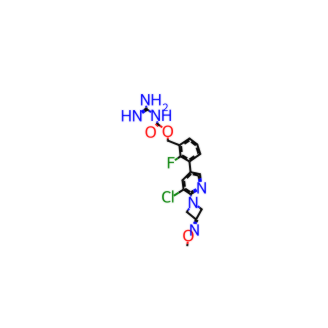 CON=C1CN(c2ncc(-c3cccc(COC(=O)NC(=N)N)c3F)cc2Cl)C1